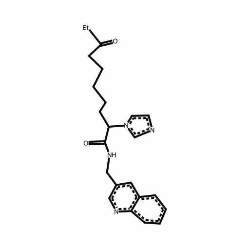 CCC(=O)CCCCCC(C(=O)NCc1cnc2ccccc2c1)n1ccnc1